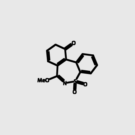 COC1=NS(=O)(=O)c2ccccc2C2=C1C=CCC2=O